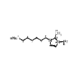 CCCCCCCCCCCCCCCN1C=CN(C(C)C)C1C